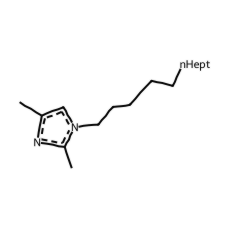 CCCCCCCCCCCCn1cc(C)nc1C